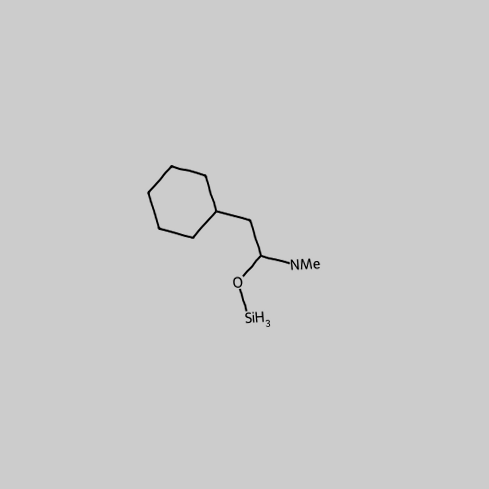 CNC(CC1CCCCC1)O[SiH3]